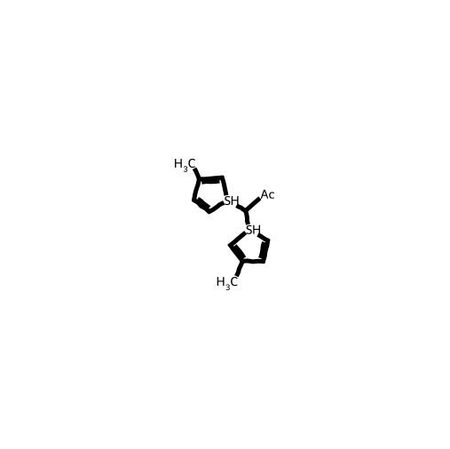 CC(=O)C([SH]1C=CC(C)=C1)[SH]1C=CC(C)=C1